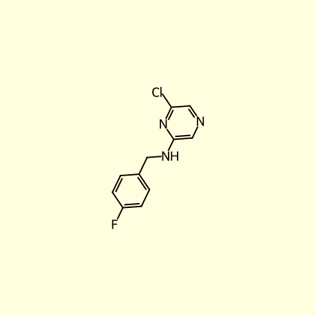 Fc1ccc(CNc2cncc(Cl)n2)cc1